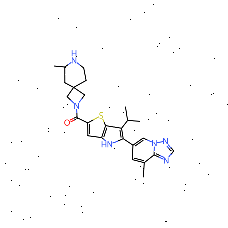 Cc1cc(-c2[nH]c3cc(C(=O)N4CC5(CCNC(C)C5)C4)sc3c2C(C)C)cn2ncnc12